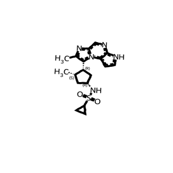 Cc1nc2cnc3[nH]ccc3n2c1[C@@H]1C[C@H](NS(=O)(=O)C2CC2)C[C@@H]1C